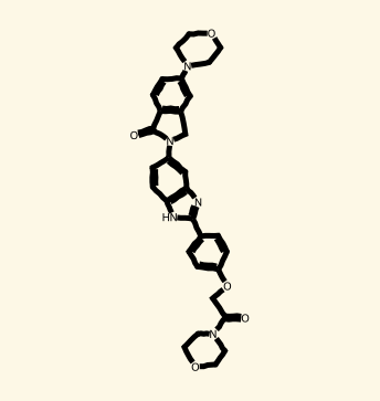 O=C(COc1ccc(-c2nc3cc(N4Cc5cc(N6CCOCC6)ccc5C4=O)ccc3[nH]2)cc1)N1CCOCC1